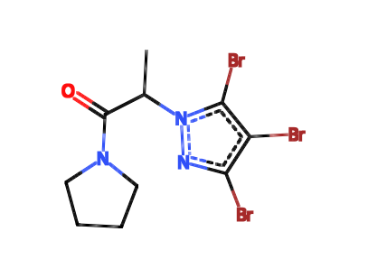 CC(C(=O)N1CCCC1)n1nc(Br)c(Br)c1Br